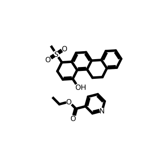 CCOC(=O)c1cccnc1.CS(=O)(=O)C1CC=C(O)c2c1ccc1c2CCc2ccccc2-1